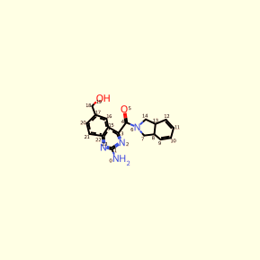 Nc1nc(C(=O)N2CC3C=CC=CC3C2)c2cc(CO)ccc2n1